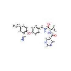 Cc1ccc(Oc2ccc(CNC(=O)C3(NC(=O)c4cncnc4)CC3)cc2)c(C#N)c1